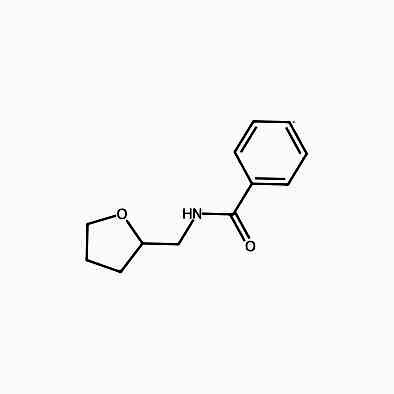 O=C(NCC1CCCO1)c1cc[c]cc1